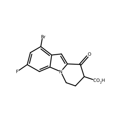 O=C(O)C1CCn2c(cc3c(Br)cc(F)cc32)C1=O